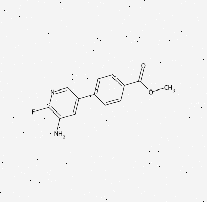 COC(=O)c1ccc(-c2cnc(F)c(N)c2)cc1